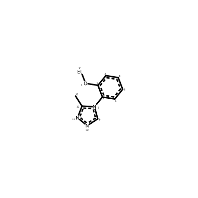 CCOc1ccccc1-n1cnnc1C